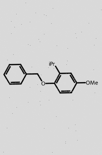 COc1ccc(OCc2ccccc2)c(C(C)C)c1